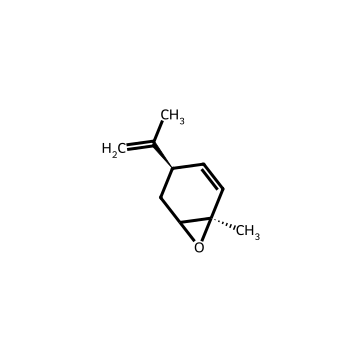 C=C(C)[C@H]1C=C[C@@]2(C)OC2C1